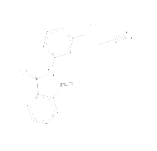 Cc1cc(OCC#N)cc(N2C(=O)c3ccccc3C2=O)c1